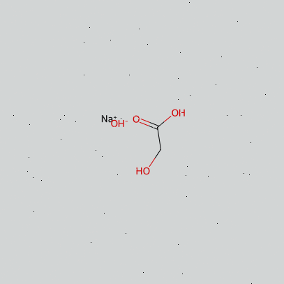 O=C(O)CO.[Na+].[OH-]